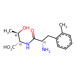 Cc1ccccc1C[C@H](N)C(=O)N[C@H](C(=O)O)[C@@H](C)O